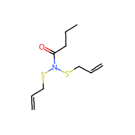 C=CCSN(SCC=C)C(=O)CCC